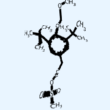 COCOc1c(C(C)(C)C)cc(CCCOS(C)(=O)=O)cc1C(C)(C)C